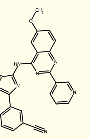 COc1ccc2nc(-c3cccnc3)nc(Nc3nc(-c4cccc(C#N)c4)cs3)c2c1